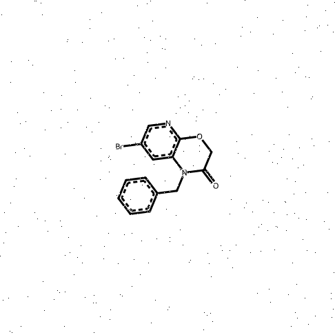 O=C1COc2ncc(Br)cc2N1Cc1ccccc1